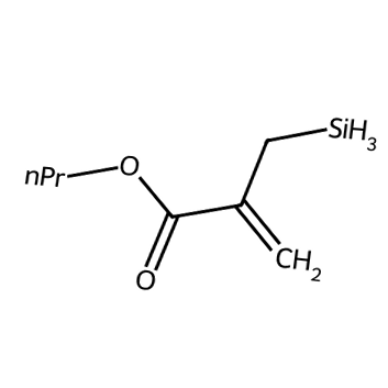 C=C(C[SiH3])C(=O)OCCC